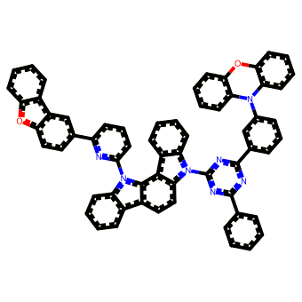 c1ccc(-c2nc(-c3cccc(N4c5ccccc5Oc5ccccc54)c3)nc(-n3c4ccccc4c4c3ccc3c5ccccc5n(-c5cccc(-c6ccc7oc8ccccc8c7c6)n5)c34)n2)cc1